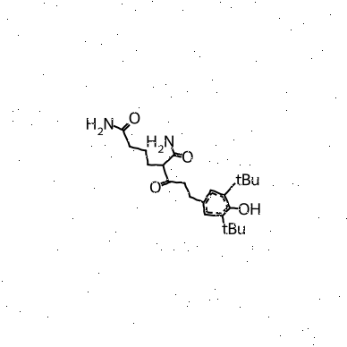 CC(C)(C)c1cc(CCC(=O)C(CCCC(N)=O)C(N)=O)cc(C(C)(C)C)c1O